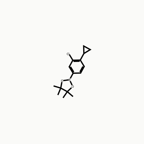 CC1(C)OB(c2ccc(C3CC3)c(Cl)c2)OC1(C)C